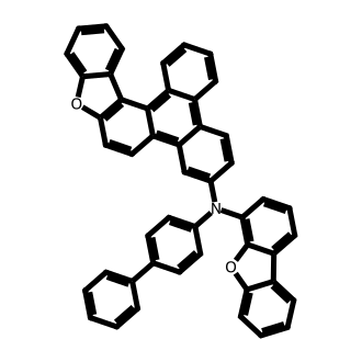 c1ccc(-c2ccc(N(c3ccc4c5ccccc5c5c(ccc6oc7ccccc7c65)c4c3)c3cccc4c3oc3ccccc34)cc2)cc1